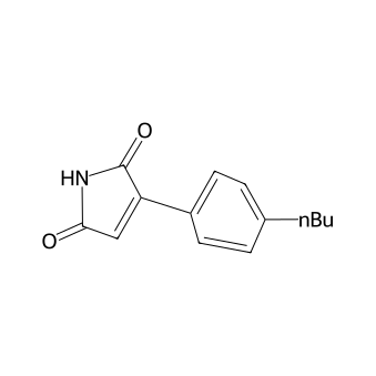 CCCCc1ccc(C2=CC(=O)NC2=O)cc1